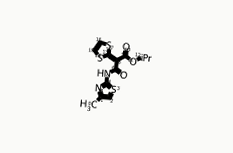 Cc1csc(NC(=O)C(C(=O)OC(C)C)=C2SC=CS2)n1